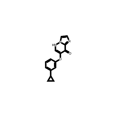 O=c1c(Oc2cccc(C3CC3)c2)c[nH]n2ccnc12